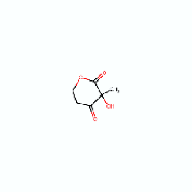 CC1(O)C(=O)CCOC1=O